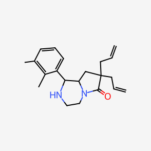 C=CCC1(CC=C)CC2C(c3cccc(C)c3C)NCCN2C1=O